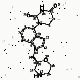 O=C1CCN(c2cccc3c2ccn3C[C@@H]2CNCCO2)C(=O)N1